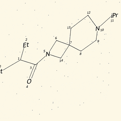 CCC(CC)C(=O)N1CC2(CCN(C(C)C)CC2)C1